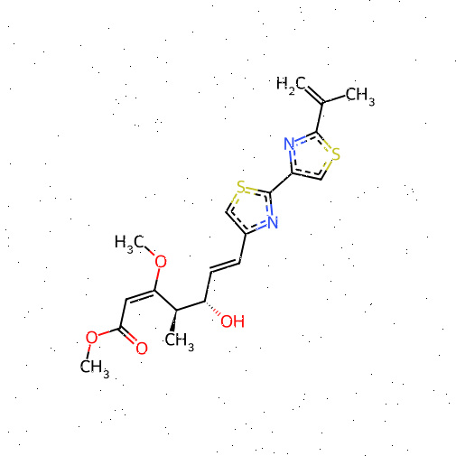 C=C(C)c1nc(-c2nc(/C=C/[C@H](O)[C@@H](C)/C(=C\C(=O)OC)OC)cs2)cs1